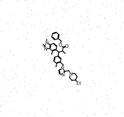 CCC1CCN(Cc2nccn2Cc2cc(C(c3ccc4c(nnn4C)c3C)C(C)C(=O)OCc3ccccc3)ccc2C)CC1